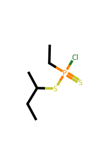 CCC(C)SP(=S)(Cl)CC